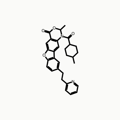 CC1CCC(C(=O)N2c3cc4c(cc3C(=O)OC2C)oc2ccc(CCc3ccccn3)cc24)CC1